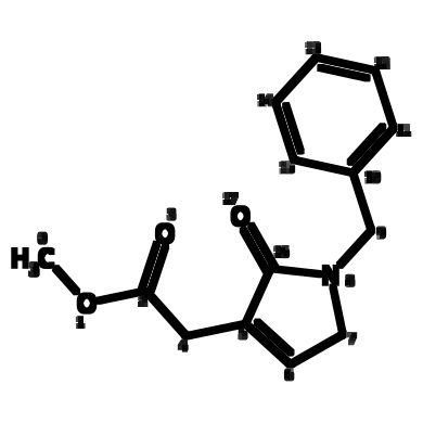 COC(=O)CC1=CCN(Cc2ccccc2)C1=O